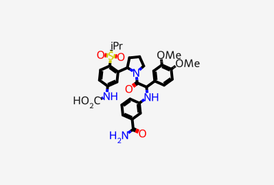 COc1ccc(C(Nc2cccc(C(N)=O)c2)C(=O)N2CCCC2c2cc(NC(=O)O)ccc2S(=O)(=O)C(C)C)cc1OC